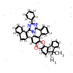 CC1(C)c2ccccc2-c2c1ccc1c2Oc2c(cccc2-c2ccccc2-c2nc(-c3ccccc3)nc(-c3cccc4ccccc34)n2)O1